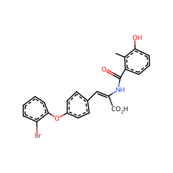 Cc1c(O)cccc1C(=O)NC(=Cc1ccc(Oc2ccccc2Br)cc1)C(=O)O